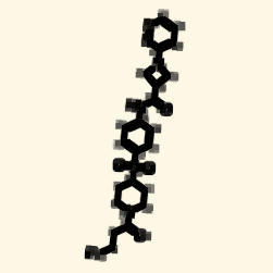 CC(C)CCC(=O)N1CCC(S(=O)(=O)c2ccc(NC(=O)C3CN(c4cccnn4)C3)cc2)CC1